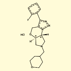 Cl.Fc1ccccc1-c1nnn2c1CO[C@@H]1CN(CC3CCOCC3)C[C@H]12